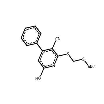 CCCCSCSc1nc(O)cc(-c2ccccc2)c1C#N